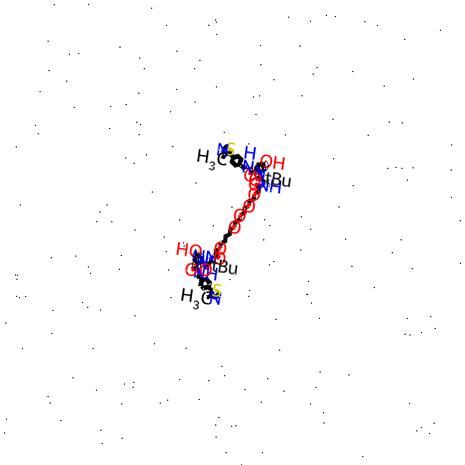 Cc1ncsc1-c1ccc(CNC(=O)[C@@H]2C[C@@H](O)CN2C(=O)C(NC(=O)COCCCCCOCCOCCOCCOCC(=O)NC(C(=O)N2C[C@H](O)C[C@H]2C(=O)NCc2ccc(-c3scnc3C)cc2)C(C)(C)C)C(C)(C)C)cc1